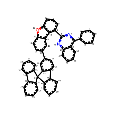 c1ccc(-c2nc(-c3cccc4oc5ccc(-c6ccc7c(c6)C6(c8ccccc8-c8ccccc86)c6ccccc6-7)cc5c34)nc3ccccc23)cc1